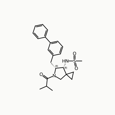 CC(C)C(=O)N1CC2(CC2)[C@@H](NS(C)(=O)=O)[C@H]1Cc1cccc(-c2ccccc2)c1